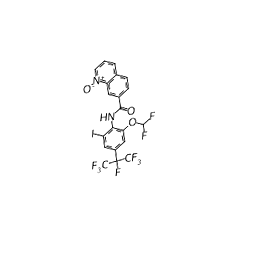 O=C(Nc1c(I)cc(C(F)(C(F)(F)F)C(F)(F)F)cc1OC(F)F)c1ccc2ccc[n+]([O-])c2c1